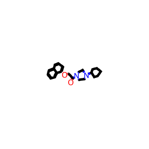 O=C(COc1cccc2ccccc12)N1CCN(C2CCCCC2)CC1